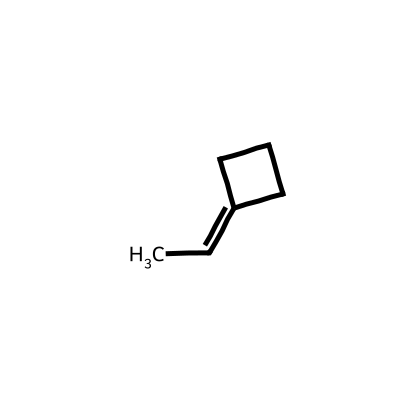 CC=C1CCC1